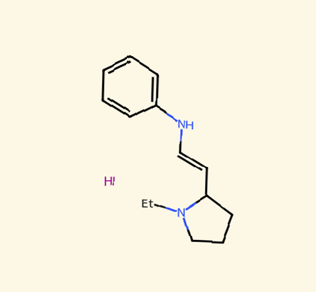 CCN1CCCC1C=CNc1ccccc1.I